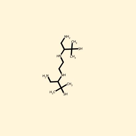 CC(C)(S)C(CN)NCCNC(CN)C(C)(C)S